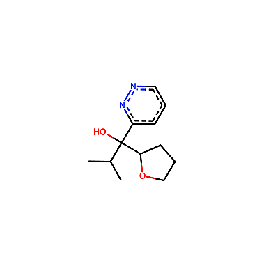 CC(C)C(O)(c1cccnn1)C1CCCO1